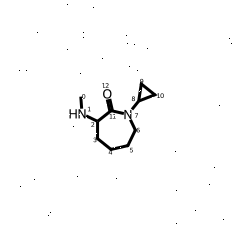 CNC1CCCCN(C2CC2)C1=O